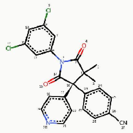 CC1(C)C(=O)N(c2cc(Cl)cc(Cl)c2)C(=O)[C@@]1(c1ccncc1)c1ccc(C#N)cc1